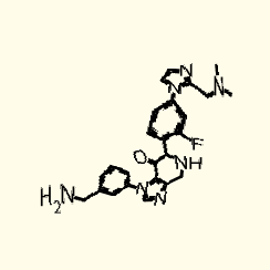 CN(C)Cc1nccn1-c1ccc(C2NCc3ncn(-c4cccc(CN)c4)c3C2=O)c(F)c1